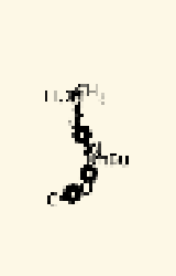 CCCCc1nc(-c2ccc(OCCCN(C)C)cc2)cn1-c1ccc(Oc2ccc(Cl)cc2)cc1